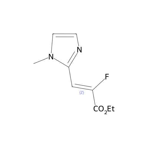 CCOC(=O)/C(F)=C/c1nccn1C